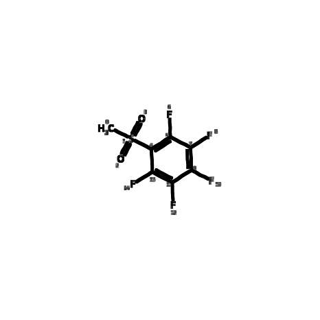 CS(=O)(=O)c1c(F)c(F)c(F)c(F)c1F